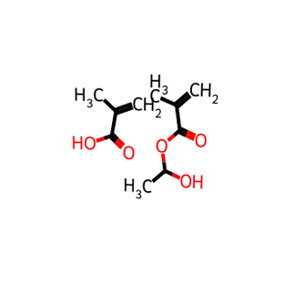 C=C(C)C(=O)O.C=C(C)C(=O)OC(C)O